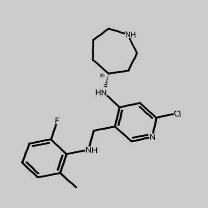 Cc1cccc(F)c1NCc1cnc(Cl)cc1N[C@@H]1CCCNCC1